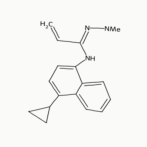 C=C/C(=N/NC)Nc1ccc(C2CC2)c2ccccc12